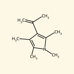 C=C(C)c1c(C)c(C)n(C)c1C